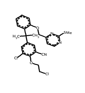 CSc1nccc(COc2ccccc2C(C)(C)c2cc(Cl)c(OCCCl)c(C#N)c2)n1